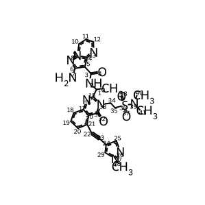 CC(NC(=O)c1c(N)nn2cccnc12)c1nc2cccc(C#Cc3cnn(C)c3)c2c(=O)n1CCS(=O)(=O)N(C)C